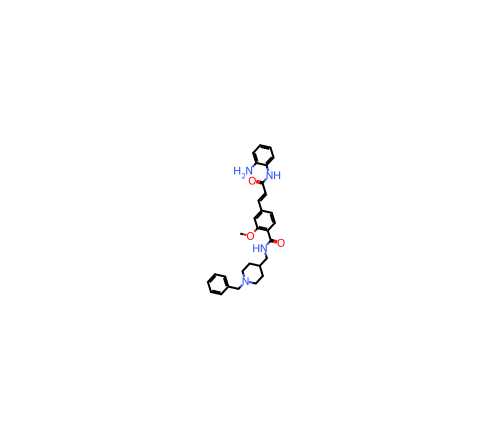 COc1cc(C=CC(=O)Nc2ccccc2N)ccc1C(=O)NCC1CCN(Cc2ccccc2)CC1